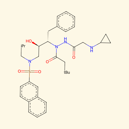 CC(C)CN(C[C@@H](O)[C@H](Cc1ccccc1)N(NC(=O)CNC1CC1)C(=O)CC(C)(C)C)S(=O)(=O)c1ccc2ccccc2c1